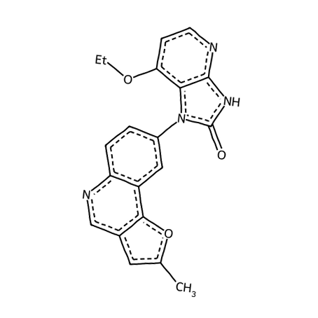 CCOc1ccnc2[nH]c(=O)n(-c3ccc4ncc5cc(C)oc5c4c3)c12